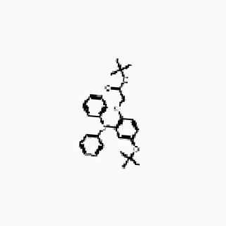 CC(C)(C)OC(=O)COc1ccc(OC(C)(C)C)cc1[S+](c1ccccc1)c1ccccc1